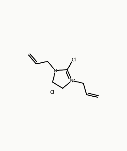 C=CCN1CC[N+](CC=C)=C1Cl.[Cl-]